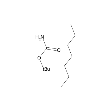 CC(C)(C)OC(N)=O.CCCCCCC